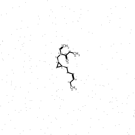 C=CN(C[C@@H]1C[C@@H]1CC/C=C\CC)C(=O)CC